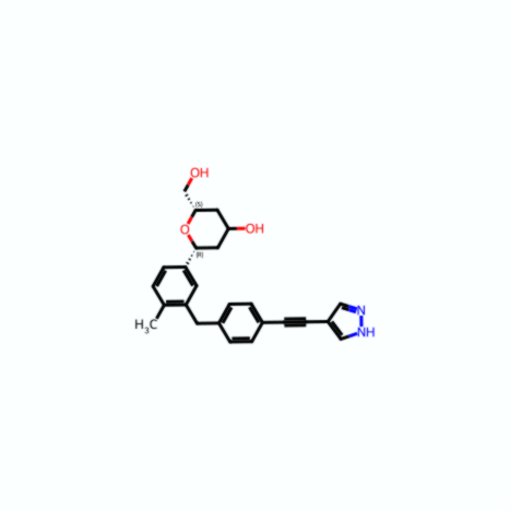 Cc1ccc([C@H]2CC(O)C[C@@H](CO)O2)cc1Cc1ccc(C#Cc2cn[nH]c2)cc1